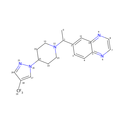 CC(c1ccc2nccnc2c1)N1CCC(n2cc(C(F)(F)F)cn2)CC1